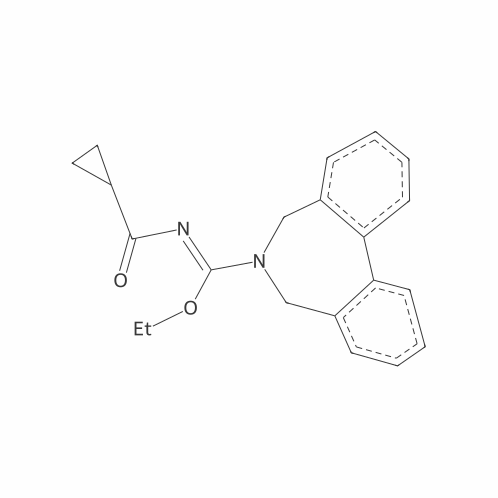 CCOC(=NC(=O)C1CC1)N1Cc2ccccc2-c2ccccc2C1